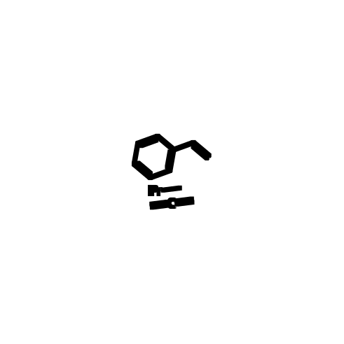 C=C=C.C=Cc1ccccc1.CC(C)C